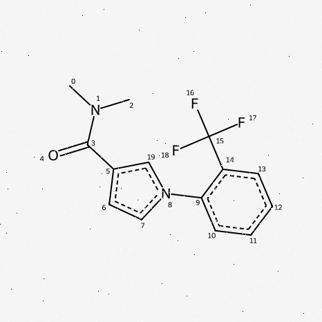 CN(C)C(=O)c1ccn(-c2ccccc2C(F)(F)F)c1